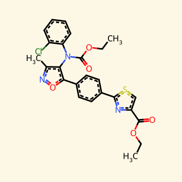 CCOC(=O)c1csc(-c2ccc(-c3onc(C)c3N(C(=O)OCC)c3ccccc3Cl)cc2)n1